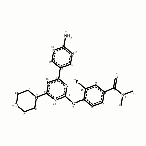 CN(C)C(=O)c1ccc(Oc2nc(-c3cnc(N)nc3)nc(N3CCOCC3)n2)c(F)c1